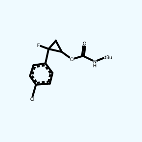 CC(C)(C)NC(=O)OC1CC1(F)c1ccc(Cl)cc1